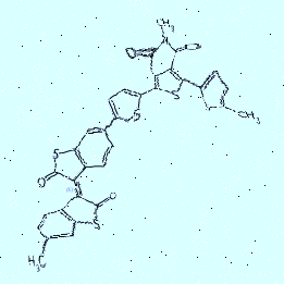 Cc1ccc2c(c1)SC(=O)/C2=C1/C(=O)Sc2cc(-c3ccc(-c4sc(-c5ccc(C)s5)c5c4C(=O)N(C)C5=O)s3)ccc21